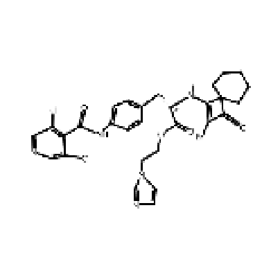 O=C(Nc1ccc(C[C@H](NC2=C(Br)C(=O)C23CCCCC3)C(=O)OCCn2ccnc2)cc1)c1c(Cl)cncc1Cl